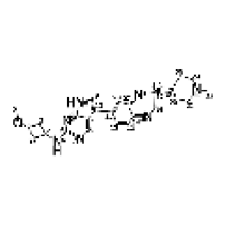 COC1CC(Nc2ncc3c(-c4ccc5ncc(OC6CCN(C)CC6)nc5c4)c[nH]c3n2)C1